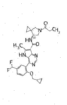 CCC(=O)N1C[C@@H](NC(=O)c2c(C)[nH]c3c(-c4cc(C(F)F)ccc4OCC4CC4)ncnc23)C2(CC2)C1